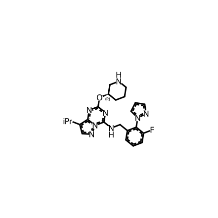 CC(C)c1cnn2c(NCc3cccc(F)c3-n3cccn3)nc(O[C@@H]3CCCNC3)nc12